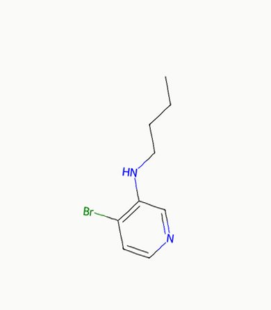 CCCCNc1cnccc1Br